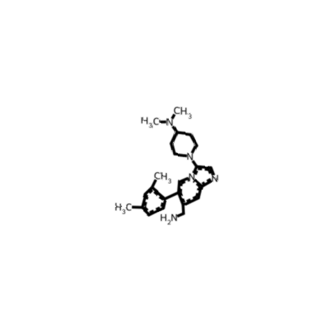 Cc1ccc(-c2cn3c(N4CCC(N(C)C)CC4)cnc3cc2CN)c(C)c1